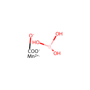 O=C([O-])[O-].OB(O)O.[Mn+2]